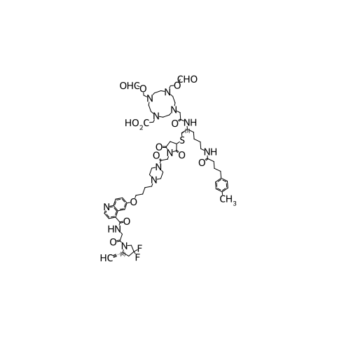 C#C[C@H]1CC(F)(F)CN1C(=O)CNC(=O)c1ccnc2ccc(OCCCCN3CCN(C(=O)CN4C(=O)CC(SC[C@H](CCCCNC(=O)CCCc5ccc(C)cc5)NC(=O)CN5CCN(COC=O)CCN(COC=O)CCN(CC(=O)O)CC5)C4=O)CC3)cc12